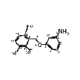 Nc1cccc(OCc2c(F)ccc(F)c2F)c1